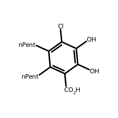 CCCCCc1c(Cl)c(O)c(O)c(C(=O)O)c1CCCCC